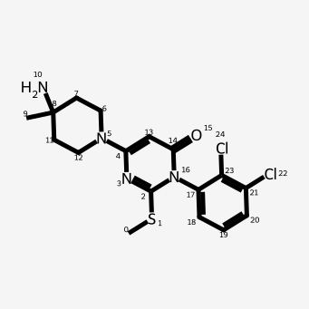 CSc1nc(N2CCC(C)(N)CC2)cc(=O)n1-c1cccc(Cl)c1Cl